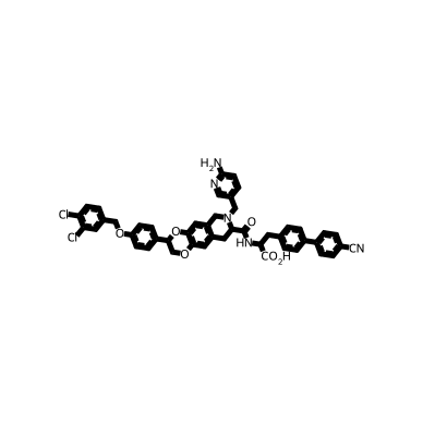 N#Cc1ccc(-c2ccc(CC(NC(=O)C3Cc4cc5c(cc4CN3Cc3ccc(N)nc3)OC(c3ccc(OCc4ccc(Cl)c(Cl)c4)cc3)CO5)C(=O)O)cc2)cc1